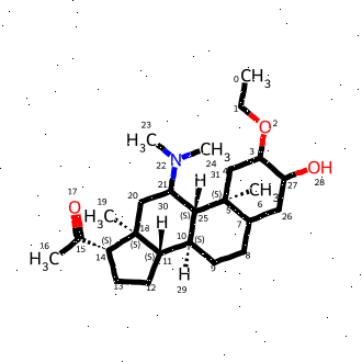 CCOC1C[C@@]2(C)C(CC[C@H]3[C@@H]4CC[C@H](C(C)=O)[C@@]4(C)CC(N(C)C)[C@@H]32)CC1O